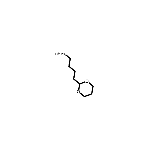 CCCCCCCCCCC1OC[CH]CO1